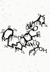 O=C(O)C(F)(F)F.O=S(=O)(Nc1cscn1)c1cc(Cl)c(NC2CCN(Cc3ccccn3)C2)cc1F